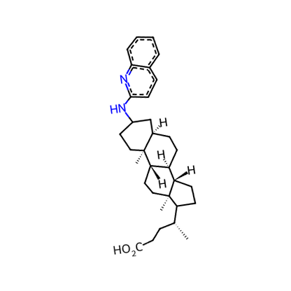 C[C@H](CCC(=O)O)C1CC[C@H]2[C@@H]3CC[C@@H]4CC(Nc5ccc6ccccc6n5)CC[C@]4(C)[C@H]3CC[C@]12C